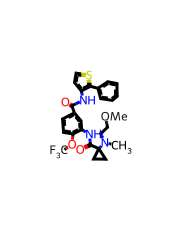 COCCN(C)C1(C(=O)Nc2cc(C(=O)Nc3ccsc3-c3ccccc3)ccc2OC(F)(F)F)CC1